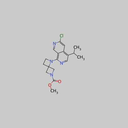 COC(=O)N1CC2(CCN2c2ncc(C(C)C)c3cc(Cl)ncc23)C1